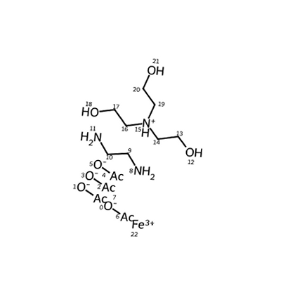 CC(=O)[O-].CC(=O)[O-].CC(=O)[O-].CC(=O)[O-].NCCN.OCC[NH+](CCO)CCO.[Fe+3]